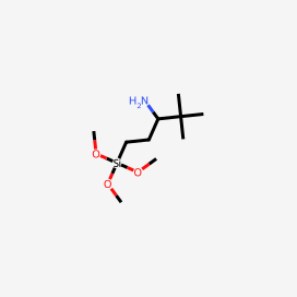 CO[Si](CCC(N)C(C)(C)C)(OC)OC